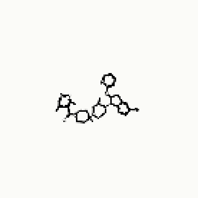 Cc1cnnc(C)c1C(=O)N1CCC(C)(N2CCN([C@@H]3c4ccc(Br)cc4CC3Oc3ccccn3)C(C)C2)CC1